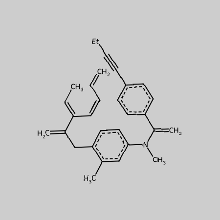 C=C/C=C\C(=C/C)C(=C)Cc1ccc(N(C)C(=C)c2ccc(C#CCC)cc2)cc1C